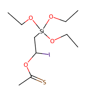 CCO[Si](CC(I)OC(C)=S)(OCC)OCC